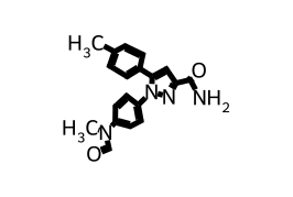 Cc1ccc(-c2cc(C(N)=O)nn2-c2ccc(N(C)C=O)cc2)cc1